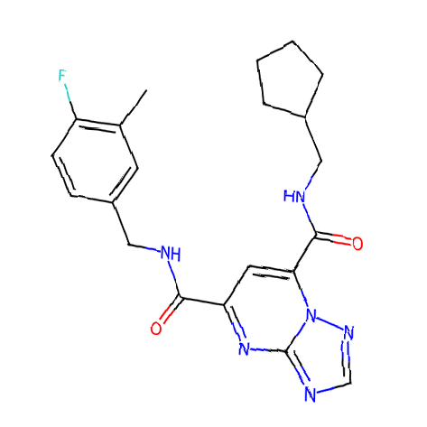 Cc1cc(CNC(=O)c2cc(C(=O)NCC3CCCC3)n3ncnc3n2)ccc1F